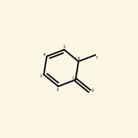 C=C1[C]=CC=CC1C